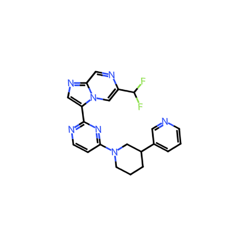 FC(F)c1cn2c(-c3nccc(N4CCCC(c5cccnc5)C4)n3)cnc2cn1